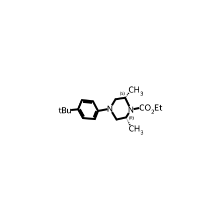 CCOC(=O)N1[C@H](C)CN(c2ccc(C(C)(C)C)cc2)C[C@@H]1C